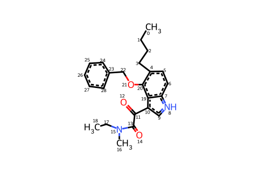 CCCCc1ccc2[nH]cc(C(=O)C(=O)N(C)CC)c2c1OCc1ccccc1